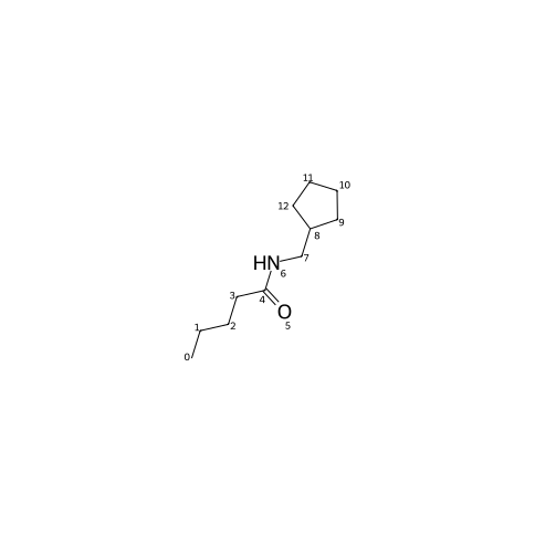 CCCCC(=O)NCC1CCCC1